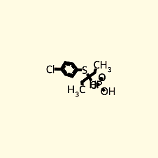 CCC(CC)(O[PH](=O)O)Sc1ccc(Cl)cc1